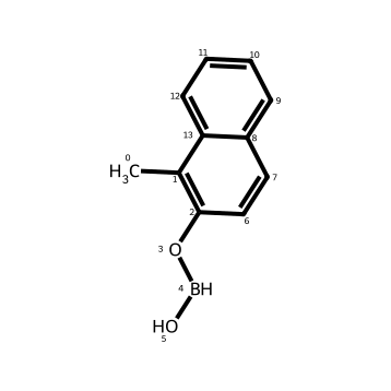 Cc1c(OBO)ccc2ccccc12